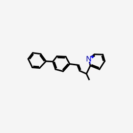 CC(C=Cc1ccc(-c2ccccc2)cc1)c1ccccn1